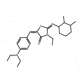 CCN1C(=O)/C(=C\c2ccc(N(CC)CC)cc2)O/C1=N/C1CCCC(C)C1C